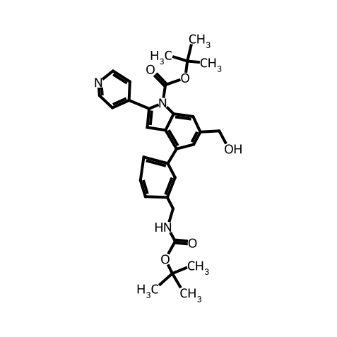 CC(C)(C)OC(=O)NCc1cccc(-c2cc(CO)cc3c2cc(-c2ccncc2)n3C(=O)OC(C)(C)C)c1